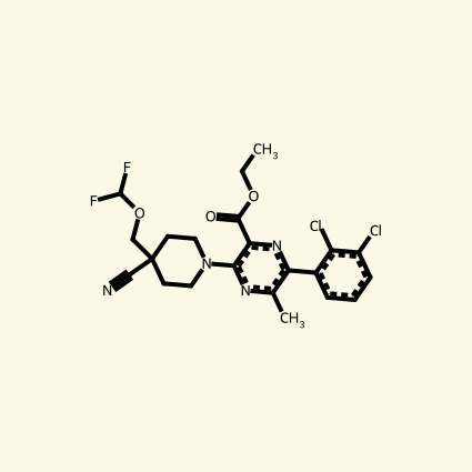 CCOC(=O)c1nc(-c2cccc(Cl)c2Cl)c(C)nc1N1CCC(C#N)(COC(F)F)CC1